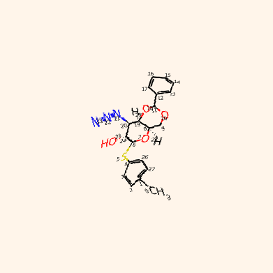 Cc1ccc(S[C@@H]2O[C@@H]3COC(c4ccccc4)O[C@@H]3[C@H](N=[N+]=[N-])[C@H]2O)cc1